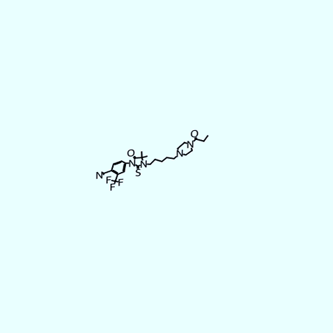 CCC(=O)N1CCN(CCCCCN2C(=S)N(c3ccc(C#N)c(C(F)(F)F)c3)C(=O)C2(C)C)CC1